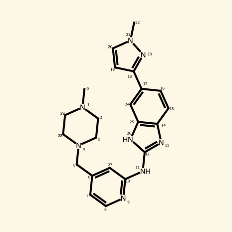 CN1CCN(Cc2ccnc(Nc3nc4ccc(-c5ccn(C)n5)cc4[nH]3)c2)CC1